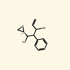 C=CC(O)C(c1ccccc1)C(O)[C@H]1CO1